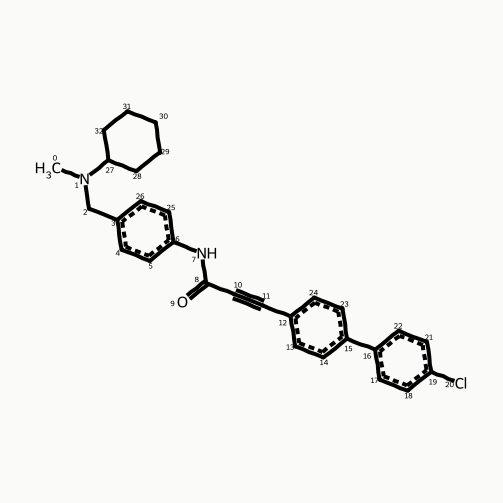 CN(Cc1ccc(NC(=O)C#Cc2ccc(-c3ccc(Cl)cc3)cc2)cc1)C1CCCCC1